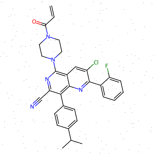 C=CC(=O)N1CCN(c2nc(C#N)c(-c3ccc(C(C)C)cc3)c3nc(-c4ccccc4F)c(Cl)cc23)CC1